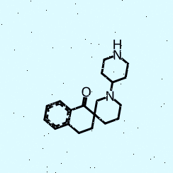 O=C1c2ccccc2CCC12CCCN(C1CCNCC1)C2